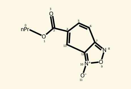 CCCOC(=O)c1ccc2no[n+]([O-])c2c1